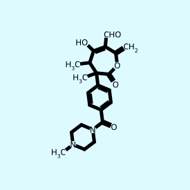 C=C1OC(=O)C(C)(c2ccc(C(=O)N3CCN(C)CC3)cc2)C(C)C(O)=C1C=O